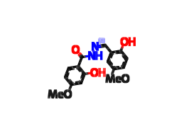 COc1ccc(C(=O)N/N=C\c2cc(OC)ccc2O)c(O)c1